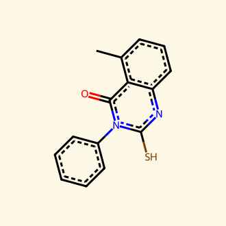 Cc1cccc2nc(S)n(-c3ccccc3)c(=O)c12